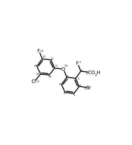 O=C(O)C(F)c1c(Br)cccc1Oc1cc(F)cc(Cl)c1